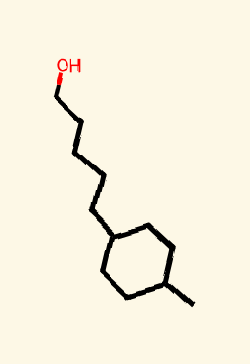 CC1CCC(CCCCCO)CC1